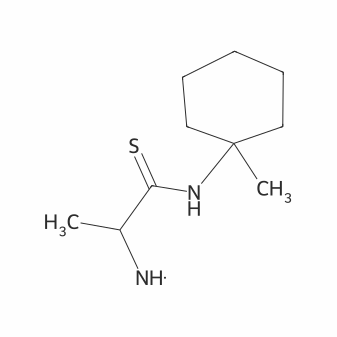 CC([NH])C(=S)NC1(C)CCCCC1